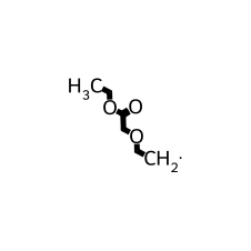 [CH2]COCC(=O)OCC